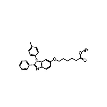 Cc1ccc(-n2c(-c3ccccc3)nc3ccc(OCCCCCC(=O)OC(C)C)cc32)cc1